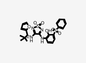 CC(C)(C)[C@@H](NC1=NS(=O)(=O)N=C1Nc1cccc(S(=O)(=O)c2ccccc2)c1O)c1ccco1